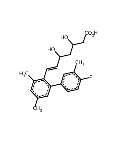 Cc1cc(C)c(C=CC(O)CC(O)CC(=O)O)c(-c2ccc(F)c(C)c2)c1